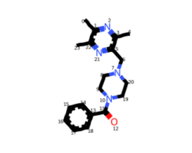 Cc1nc(C)c(CN2CCN(C(=O)c3[c]cccc3)CC2)nc1C